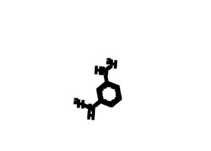 [2H]Nc1cccc(N[2H])c1